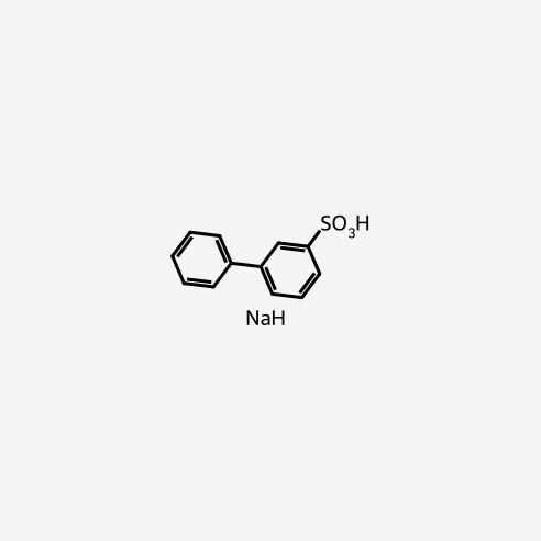 O=S(=O)(O)c1cccc(-c2ccccc2)c1.[NaH]